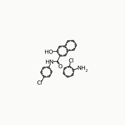 Nc1ccccc1Cl.O=C(Nc1ccc(Cl)cc1)c1cc2ccccc2cc1O